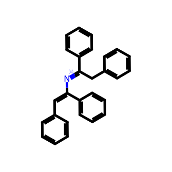 C(=C(/N=C(\Cc1ccccc1)c1ccccc1)c1ccccc1)c1ccccc1